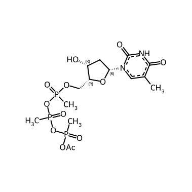 CC(=O)OP(C)(=O)OP(C)(=O)OP(C)(=O)OC[C@H]1O[C@@H](n2cc(C)c(=O)[nH]c2=O)C[C@H]1O